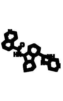 O=C(NC1c2ccccc2-c2c(-c3nc4ccncc4[nH]3)cccc21)c1cccc2cnccc12